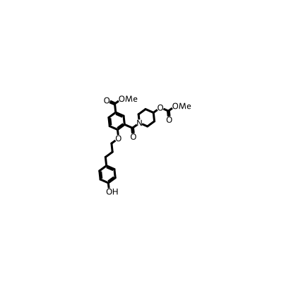 COC(=O)OC1CCN(C(=O)c2cc(C(=O)OC)ccc2OCCCc2ccc(O)cc2)CC1